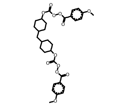 COc1ccc(C(=O)OOC(=O)OC2CCC(CC3CCC(OC(=O)OOC(=O)c4ccc(OC)cc4)CC3)CC2)cc1